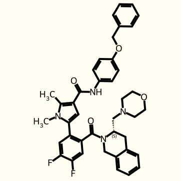 Cc1c(C(=O)Nc2ccc(OCc3ccccc3)cc2)cc(-c2cc(F)c(F)cc2C(=O)N2Cc3ccccc3C[C@H]2CN2CCOCC2)n1C